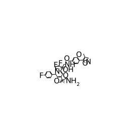 COc1cc(C(=O)NC[C@](O)(c2cc3c(c(-c4ccc(F)cc4)n2)OC[C@]3(C)C(N)=O)C(F)(F)F)ccc1-c1oncc1C